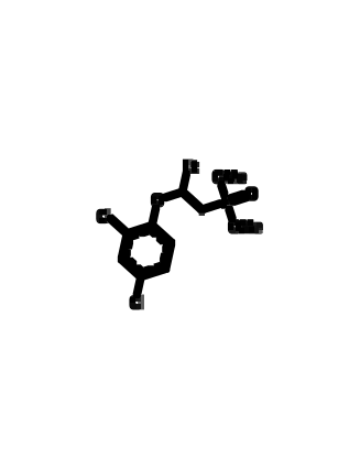 CCC([CH]P(=O)(OC)OC)Oc1ccc(Cl)cc1Cl